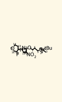 CC(C)(C)[Si](C)(C)OCCCOc1nn(C2CCOC[C@@H]2F)cc1[N+](=O)[O-]